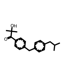 CC(C)Cc1ccc(Cc2ccc(C(=O)C(C)(C)O)cc2)cc1